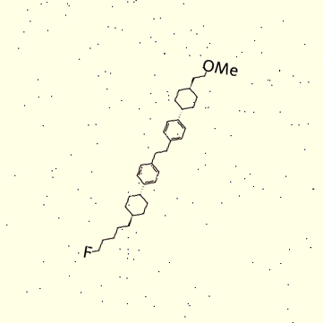 COCC[C@H]1CC[C@H](c2ccc(CCc3ccc([C@H]4CC[C@H](CCCCCF)CC4)cc3)cc2)CC1